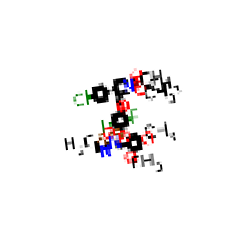 COc1ccc(CN(c2ncc(C)s2)S(=O)(=O)c2cc(F)c(OC[C@@H]3CN(C(=O)OC(C)(C)C)CC[C@H]3c3ccc(Cl)cc3)cc2F)c(OC)c1